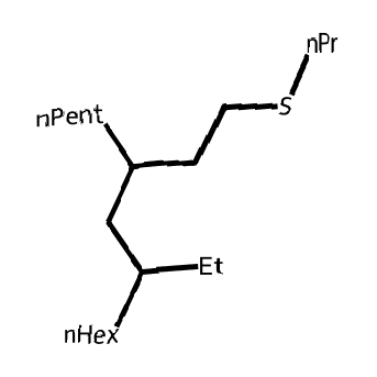 CCCCCCC(CC)CC(CCCCC)CCSCCC